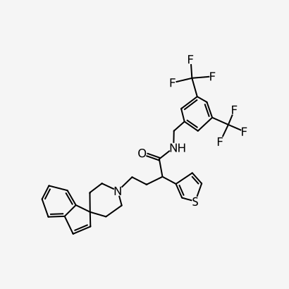 O=C(NCc1cc(C(F)(F)F)cc(C(F)(F)F)c1)C(CCN1CCC2(C=Cc3ccccc32)CC1)c1ccsc1